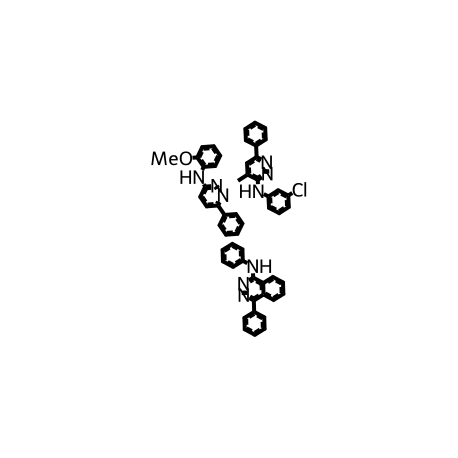 COc1ccccc1Nc1ccc(-c2ccccc2)nn1.Cc1cc(-c2ccccc2)nnc1Nc1cccc(Cl)c1.c1ccc(Nc2nnc(-c3ccccc3)c3ccccc23)cc1